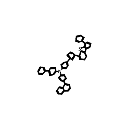 C1=C(c2cccc(-c3ccc(N(c4ccc(-c5ccccc5)cc4)c4ccc(-c5cccc6ccccc56)cc4)cc3)c2)c2sc3c(-c4ccccc4)cccc3c2CC1